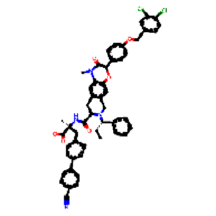 CC[C@@H](c1ccccc1)N1Cc2cc3c(cc2CC1C(=O)N[C@@](C)(Cc1ccc(-c2ccc(C#N)cc2)cc1)C(=O)O)N(C)C(=O)C(c1ccc(OCc2ccc(Cl)c(Cl)c2)cc1)O3